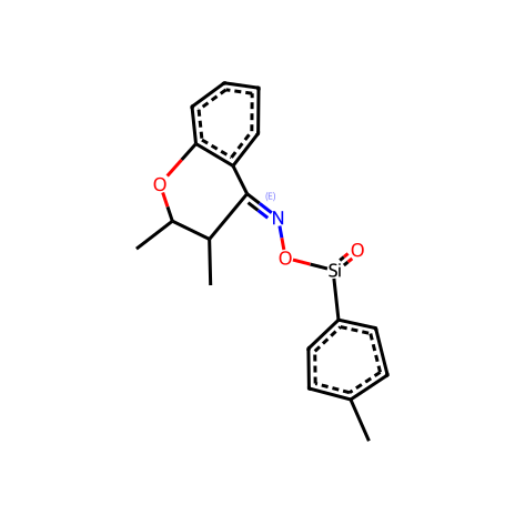 Cc1ccc([Si](=O)O/N=C2/c3ccccc3OC(C)C2C)cc1